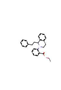 CCOC(=O)c1ccccc1N1CCc2ccccc2C1CCc1ccccc1